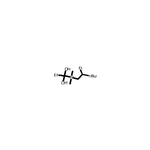 CCCCC(CC)C[N+](C)(C)C(O)(O)CC